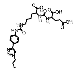 O=C(O)CCC(NC(=O)NC(CCCCNC(=O)Nc1ccc(-c2cn(CCF)nn2)cc1)C(=O)O)C(=O)O